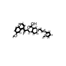 COc1ccc2nccc([C@H](F)CC[C@@H]3CCN(CCSc4cccn4C)C[C@@H]3C(=O)O)c2c1